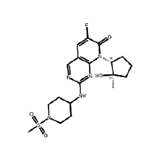 C[C@@]1(O)CCC[C@H]1n1c(=O)c(F)cc2cnc(NC3CCN(S(C)(=O)=O)CC3)nc21